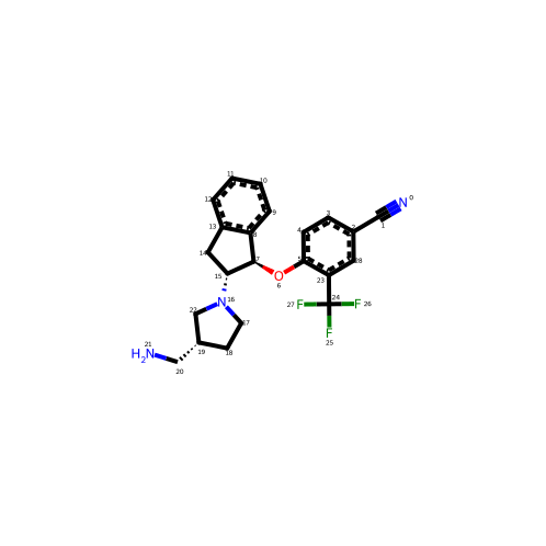 N#Cc1ccc(O[C@@H]2c3ccccc3C[C@H]2N2CC[C@H](CN)C2)c(C(F)(F)F)c1